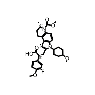 COC(=O)N1c2ccc3c(nc(C[C@H](C(=O)O)c4ccc(OC)c(F)c4)n3C3CCC(OC)CC3)c2CC[C@@H]1C